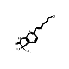 CC1(C)Cc2ccc(C=CCCCCl)nc2NC1=O